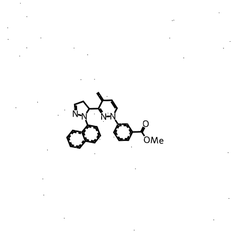 C=C1C=CN(c2cccc(C(=O)OC)c2)N=C1C1CC=NN1c1cccc2ccccc12